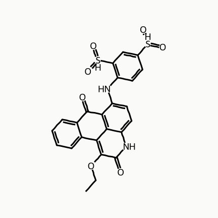 CCOc1c2c3c(c(Nc4ccc([SH](=O)=O)cc4[SH](=O)=O)ccc3[nH]c1=O)C(=O)c1ccccc1-2